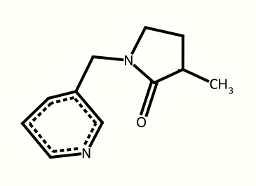 C[C]1CCN(Cc2cccnc2)C1=O